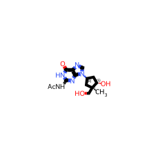 CC(=O)Nc1nc2c(ncn2[C@H]2C[C@H](O)[C@@](C)(CO)C2)c(=O)[nH]1